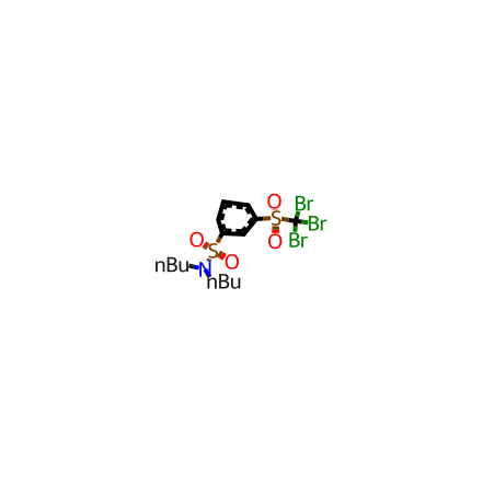 CCCCN(CCCC)S(=O)(=O)c1cccc(S(=O)(=O)C(Br)(Br)Br)c1